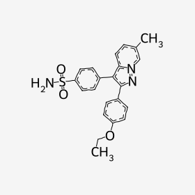 CCOc1ccc(-c2nn3cc(C)ccc3c2-c2ccc(S(N)(=O)=O)cc2)cc1